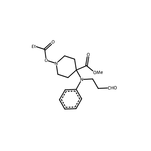 CCC(=O)ON1CCC(C(=O)OC)(N(CCC=O)c2ccccc2)CC1